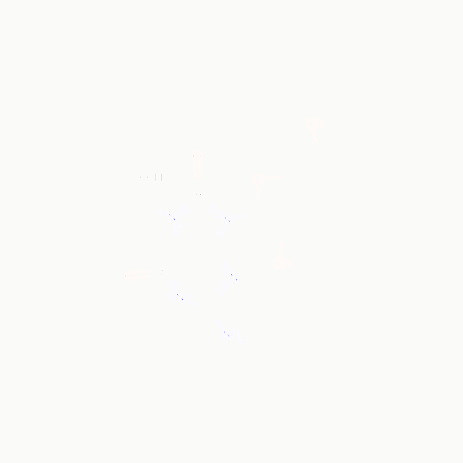 CC1C(CO)OC(n2c(=O)n(CC(=O)O)c3c(=O)[nH]c(N)nc32)C1O